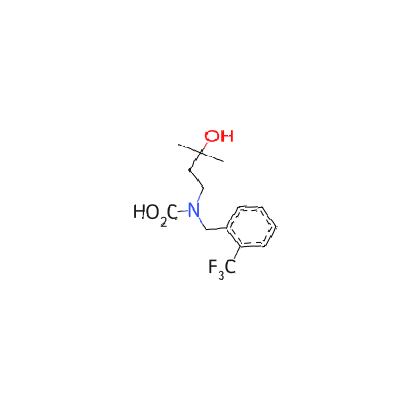 CC(C)(O)CCN(Cc1ccccc1C(F)(F)F)C(=O)O